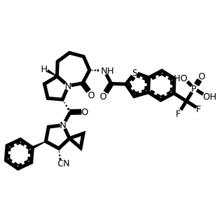 N#C[C@@H]1[C@@H](c2ccccc2)CN(C(=O)[C@@H]2CC[C@@H]3CCC[C@H](NC(=O)c4cc5cc(C(F)(F)P(=O)(O)O)ccc5s4)C(=O)N32)C12CC2